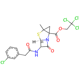 CC12CC1(C(=O)OCC(Cl)(Cl)Cl)N1C(=O)C(NC(=O)Cc3cccc(Cl)c3)[C@H]1S2